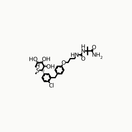 C[SH]1C[C@@H](O)[C@@H](O)[C@@H](O)[C@@H]1c1ccc(Cl)c(Cc2ccc(OCCCNC(=O)NC(C)(C)C(N)=O)cc2)c1